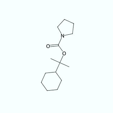 CC(C)(OC(=O)N1CCCC1)C1CCCCC1